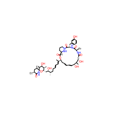 CC[C@H]1C[C@H](CC)[C@@]2(NC1=O)O[C@@H](C[C@H](O)[C@@H](C)CC/C=C/C=C(\C)[C@@H]1C/C=C/C=C/[C@@H](O)C(C)[C@@H](O)CC(=O)NC(C(C)C)C(=O)N[C@@H](Cc3cccc(O)c3)C(=O)N3CCC[C@H](N3)C(=O)O1)[C@H](C)[C@H](O)[C@@H]2C